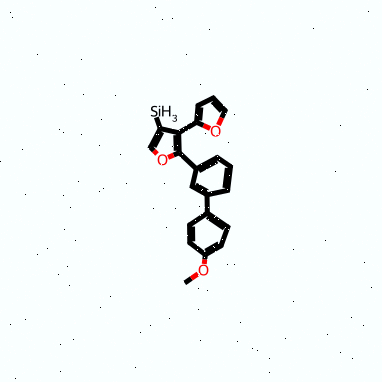 COc1ccc(-c2cccc(-c3occ([SiH3])c3-c3ccco3)c2)cc1